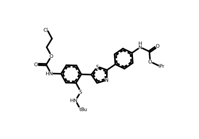 CC(C)OC(=O)Nc1ccc(-c2ncc(-c3ccc(NC(=O)OCCCl)cc3SNC(C)(C)C)s2)cc1